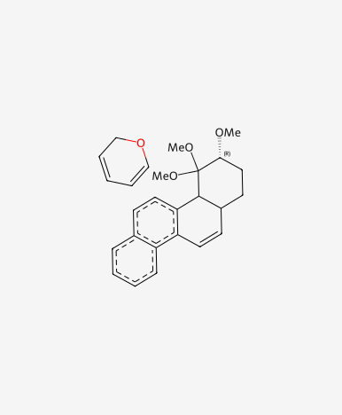 C1=CCOC=C1.CO[C@@H]1CCC2C=Cc3c(ccc4ccccc34)C2C1(OC)OC